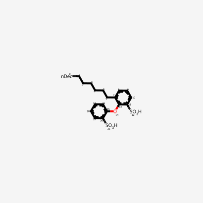 CCCCCCCCCCCCCCCCc1cccc(S(=O)(=O)O)c1Oc1ccccc1S(=O)(=O)O